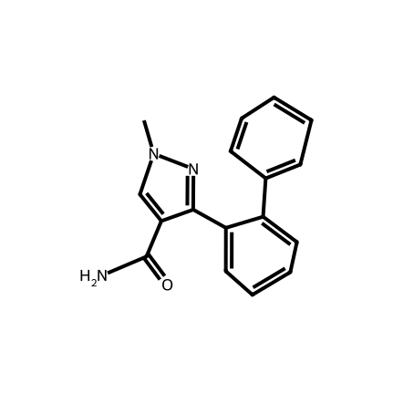 Cn1cc(C(N)=O)c(-c2ccccc2-c2ccccc2)n1